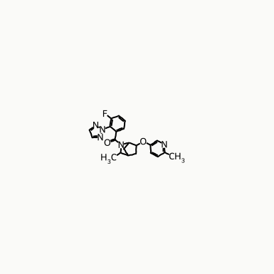 Cc1ccc(OC2CC3CC2N(C(=O)c2cccc(F)c2-n2nccn2)C3C)cn1